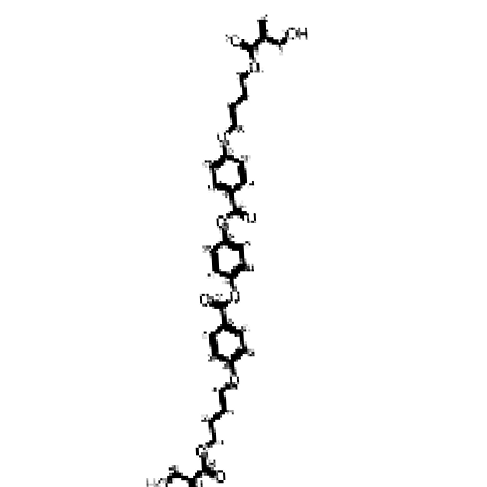 C=C(CO)C(=O)OCCCCOc1ccc(C(=O)Oc2ccc(OC(=O)c3ccc(OCCCCOC(=O)C(=C)CO)cc3)cc2)cc1